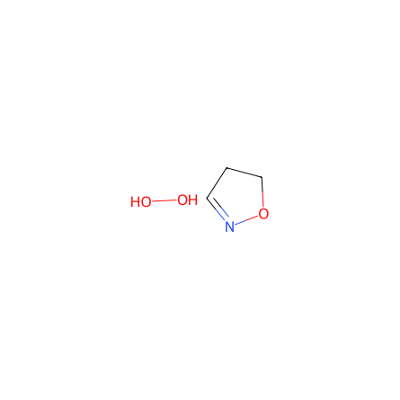 C1=NOCC1.OO